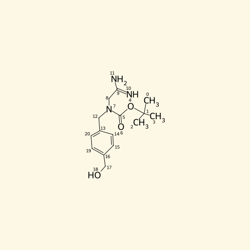 CC(C)(C)OC(=O)N(CC(=N)N)Cc1ccc(CO)cc1